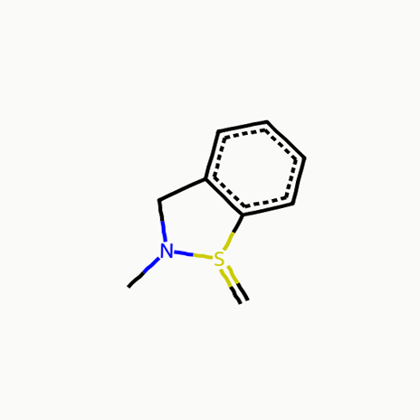 C=S1c2ccccc2CN1C